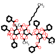 C=CCCCCCCCCOC1OC(COC2OC(COC(=O)c3ccccc3)C(OC(=O)c3ccccc3)C(OC(=O)c3ccccc3)C2OC(=O)c2ccccc2)C(OC(C)=O)C(OC2OC(COC(=O)c3ccccc3)C(OC(=O)c3ccccc3)C(O)C2OC(=O)c2ccccc2)C1OC(C)=O